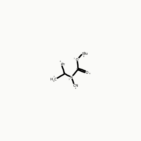 CC(C)C(C)N(C#N)C(=O)OC(C)(C)C